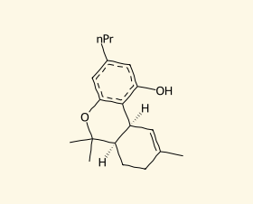 CCCc1cc(O)c2c(c1)OC(C)(C)[C@@H]1CCC(C)=C[C@H]21